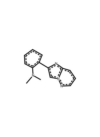 CN(C)c1ccccc1-c1cn2ncccc2n1